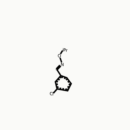 CC(C)O/N=[C]/c1cccc(Cl)c1